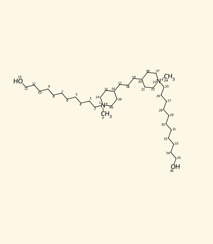 C[N+]1(CCCCCCCCCCCO)CCC(CCCC2CC[N+](C)(CCCCCCCCCCCO)CC2)CC1